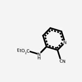 CCOC(=O)Nc1cccnc1C#N